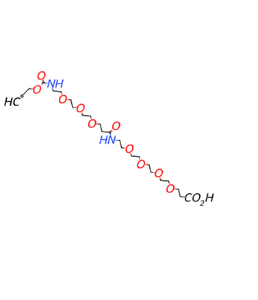 C#CCOC(=O)NCCOCCOCCOCCC(=O)NCCOCCOCCOCCOCCC(=O)O